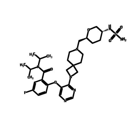 CC(C)N(C(=O)c1cc(F)ccc1Oc1cncnc1N1CC2(CCN(C[C@@H]3CC[C@@H](NS(N)(=O)=O)CO3)CC2)C1)C(C)C